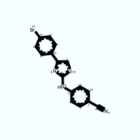 N#Cc1ccc(Nc2nc(-c3ccc(Br)cc3)cs2)cc1